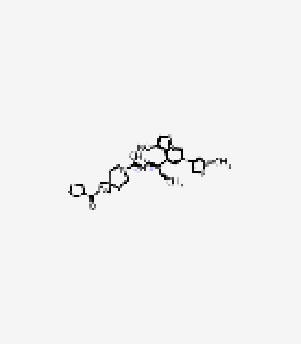 C=C/C(=C\N=C(/C)N1CCC2(CC1)CN(C(=O)C1CCCC1)C2)c1cc(-c2cnn(C)c2)cn2ncc(C#N)c12